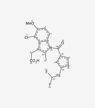 COc1ccc2c(c1Cl)c(CC(=O)O)c(C)n2C(=O)c1csc(SC(F)F)c1